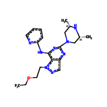 C[C@@H]1CN(c2nc(Nc3ccccn3)c3c(cnn3CCOCC(F)(F)F)n2)C[C@H](C)N1